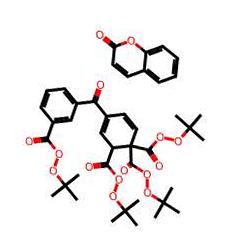 CC(C)(C)OOC(=O)c1cccc(C(=O)C2=CC(C(=O)OOC(C)(C)C)C(C(=O)OOC(C)(C)C)(C(=O)OOC(C)(C)C)C=C2)c1.O=c1ccc2ccccc2o1